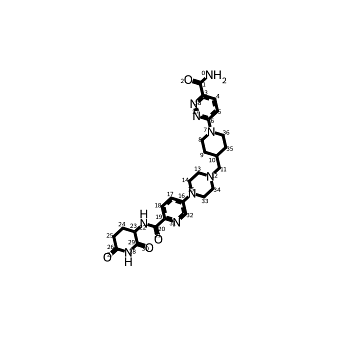 NC(=O)c1ccc(N2CCC(CN3CCN(c4ccc(C(=O)NC5CCC(=O)NC5=O)nc4)CC3)CC2)nn1